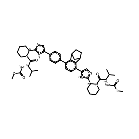 COC(=O)N[C@H](C(=O)N1CCCC[C@H]1c1ncc(-c2ccc(-c3ccc(-c4cnc([C@@H]5CCCCN5C(=O)[C@@H](NC(=O)OC)C(C)C)[nH]4)c4c3C3CCC4C3)cc2)[nH]1)C(C)C